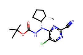 C[C@H]1CCC[C@H]1N(NC(=O)OC(C)(C)C)c1nc(C#N)ncc1Br